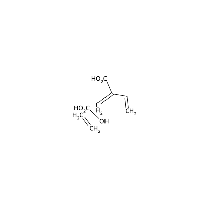 C=C.C=CC(=C)C(=O)O.O=C(O)O